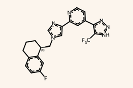 Fc1ccc2c(c1)[C@H](Cn1cnc(-c3cc(-c4nn[nH]c4C(F)(F)F)ccn3)c1)CCC2